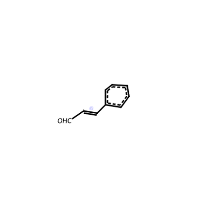 O=C/[C]=C/c1ccccc1